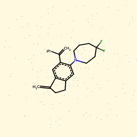 C=C1CCc2cc(N3CCCC(F)(F)CC3)c(C(=C)C(C)C)cc21